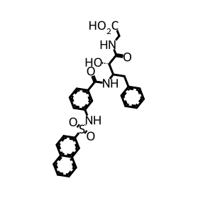 O=C(O)CNC(=O)[C@@H](O)C(Cc1ccccc1)NC(=O)c1cccc(NS(=O)(=O)c2ccc3ccccc3c2)c1